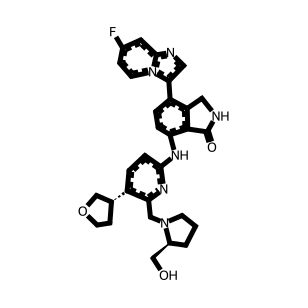 O=C1NCc2c(-c3cnc4cc(F)ccn34)ccc(Nc3ccc([C@@H]4CCOC4)c(CN4CCC[C@H]4CO)n3)c21